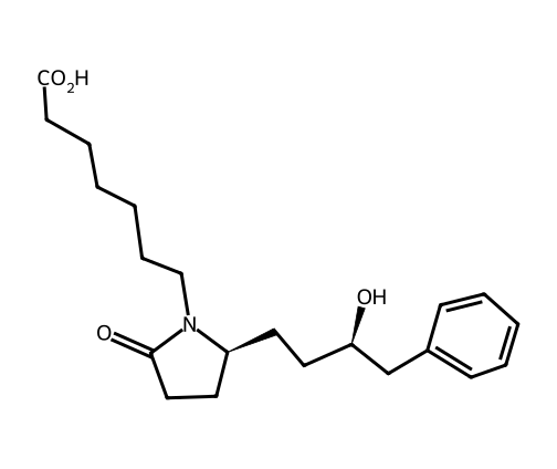 O=C(O)CCCCCCN1C(=O)CC[C@@H]1CC[C@@H](O)Cc1ccccc1